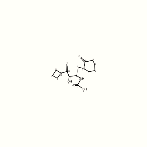 O=C(O)N[C@@H](CN1CCCCC1=O)C(O)C(=O)N1CCC1